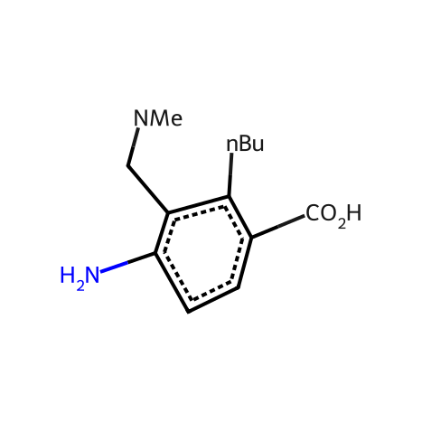 CCCCc1c(C(=O)O)ccc(N)c1CNC